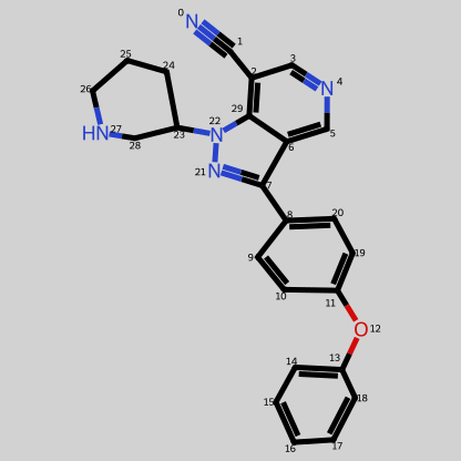 N#Cc1cncc2c(-c3ccc(Oc4ccccc4)cc3)nn(C3CCCNC3)c12